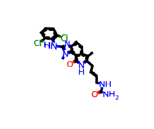 Cc1c(CC=CCNC(N)=O)[nH]c(=O)c2c1ccc1nc(Nc3c(Cl)cccc3Cl)n(C)c12